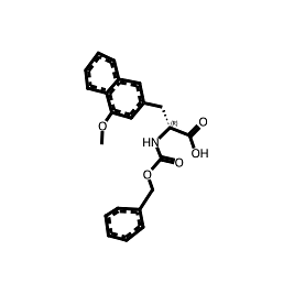 COc1cc(C[C@@H](NC(=O)OCc2ccccc2)C(=O)O)cc2ccccc12